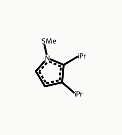 CSn1ccc(C(C)C)c1C(C)C